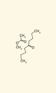 CCCCC(=O)CCCC.COC(C)=O